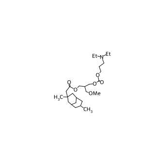 CCN(CC)CCCOC(=O)OCC(COC)COC(=O)CC1(C)CC2CC(C)CC(C2)C1